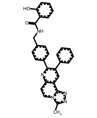 Cc1nnc2c3cc(-c4ccccc4)c(-c4ccc(CNC(=O)c5ccccc5O)cc4)nc3ccn12